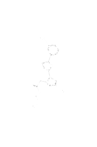 CSCOC(=O)Cn1nc(C)cc1-c1ccc(-c2cccc(C)c2)o1